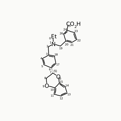 CCN(Cc1ccc([C@H]2COc3ccccc3O2)cc1)Cc1cccc(C(=O)O)c1